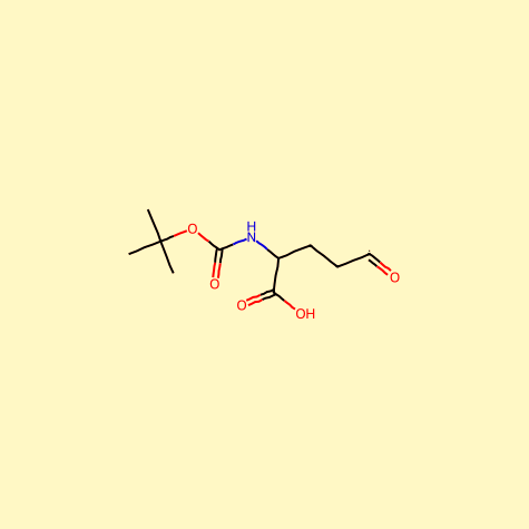 CC(C)(C)OC(=O)NC(CC[C]=O)C(=O)O